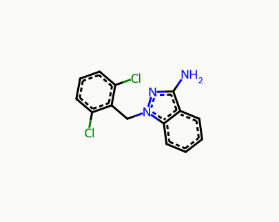 Nc1nn(Cc2c(Cl)cccc2Cl)c2ccccc12